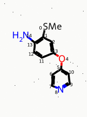 CSc1cc(Oc2ccncc2)ccc1N